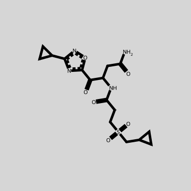 NC(=O)CC(NC(=O)[CH]CS(=O)(=O)CC1CC1)C(=O)c1nc(C2CC2)no1